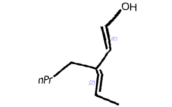 C/C=C(\C=C\O)CCCC